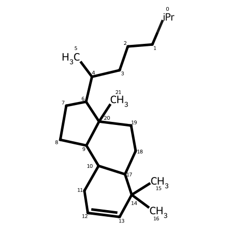 CC(C)CCCC(C)C1CCC2C3CC=CC(C)(C)C3CCC12C